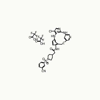 N#Cc1cccc(S(=O)(=O)N2CCC(CC(=O)Nc3ccc4cc3CCc3cncc(c3)Nc3ncc(Cl)c(n3)N4)CC2)c1.O=C(O)C(F)(F)F.O=C(O)C(F)(F)F